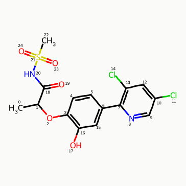 CC(Oc1ccc(-c2ncc(Cl)cc2Cl)cc1O)C(=O)NS(C)(=O)=O